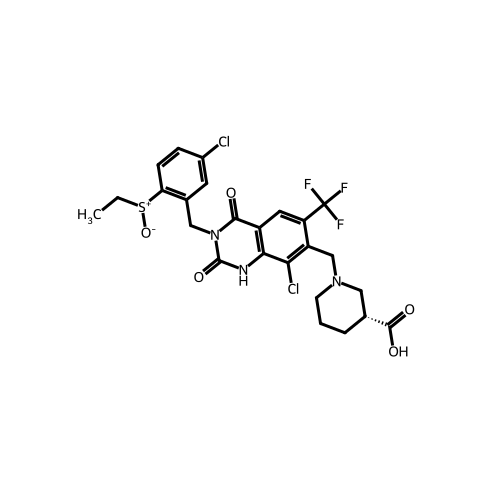 CC[S+]([O-])c1ccc(Cl)cc1Cn1c(=O)[nH]c2c(Cl)c(CN3CCC[C@@H](C(=O)O)C3)c(C(F)(F)F)cc2c1=O